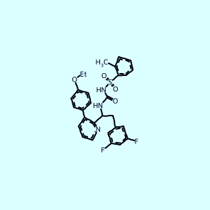 CCOc1ccc(-c2cccnc2C(Cc2cc(F)cc(F)c2)NC(=O)NS(=O)(=O)c2ccccc2C)cc1